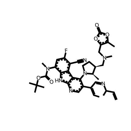 C=CC(C)/N=C\C(=C/C)c1cnc2[nH]c3c(N(C)C(=O)OC(C)(C)C)cc(F)c(C#N)c3c2c1N1CC[C@@H](CN(C)Cc2oc(=O)oc2C)[C@H]1C